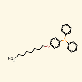 O=C(O)CCCCCCCBr.c1ccc(P(c2ccccc2)c2ccccc2)cc1